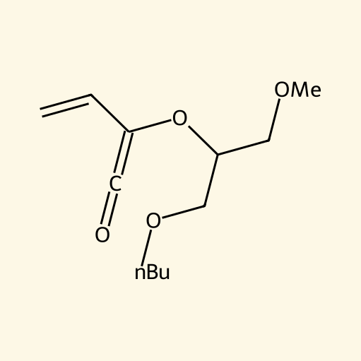 C=CC(=C=O)OC(COC)COCCCC